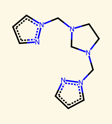 c1cnn(CN2CCN(Cn3cccn3)C2)c1